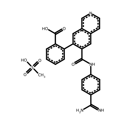 CS(=O)(=O)O.N=C(N)c1ccc(NC(=O)c2cc3ccncc3cc2-c2ccccc2C(=O)O)cc1